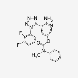 CN(C(=O)Oc1cnc(N)c(-c2nnnn2-c2cccc(F)c2F)c1)c1ccccc1